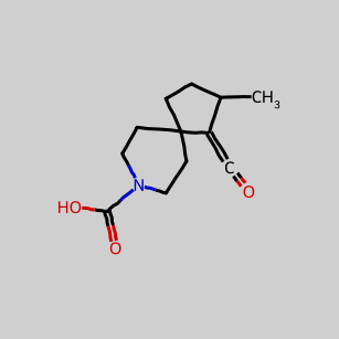 CC1CCC2(CCN(C(=O)O)CC2)C1=C=O